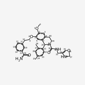 COc1cc2c(cc1OCCc1cccc(C(N)=O)c1)C(c1ccc(C)cc1C)N(C(=O)NCC1=COCN1)CC2